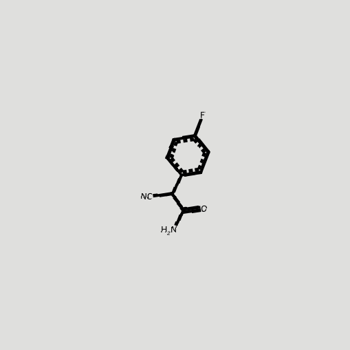 N#CC(C(N)=O)c1ccc(F)cc1